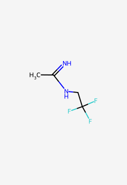 CC(=N)NCC(F)(F)F